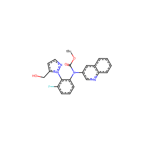 CC(C)(C)OC(=O)N(c1cnc2ccccc2c1)c1cccc(F)c1-n1nccc1CO